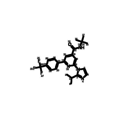 CC(C)c1nccn1-c1cc(C(=O)NC(C)(C)C)cc(-c2ccc(C(F)(F)F)cc2)n1